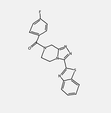 O=C(c1ccc(F)cc1)N1CCn2c(nnc2-c2nc3ccccc3s2)C1